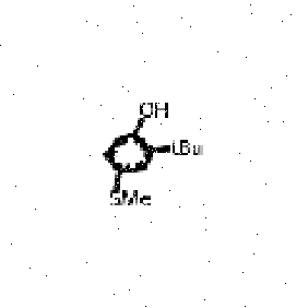 CSc1ccc(O)c(C(C)(C)C)c1